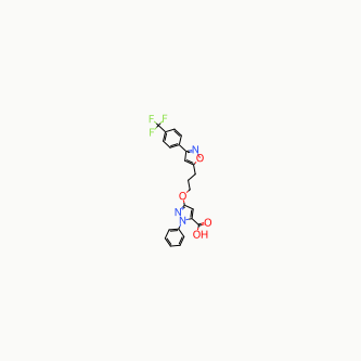 O=C(O)c1cc(OCCCc2cc(-c3ccc(C(F)(F)F)cc3)no2)nn1-c1ccccc1